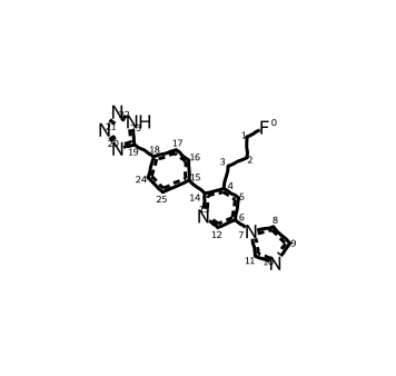 FCCCc1cc(-n2ccnc2)cnc1-c1ccc(-c2nnn[nH]2)cc1